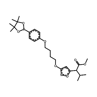 COC(=O)C(c1cc(OCCCCOc2ccc(B3OC(C)(C)C(C)(C)O3)cc2)no1)C(C)C